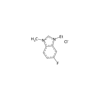 CCn1c[n+](C)c2ccc(F)cc21.[Cl-]